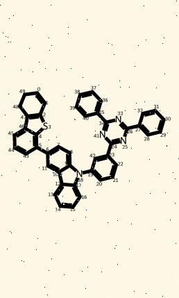 C1=Cc2sc3c(-c4ccc5c(c4)c4ccccc4n5-c4cccc(-c5nc(-c6ccccc6)nc(-c6ccccc6)n5)c4)cccc3c2CC1